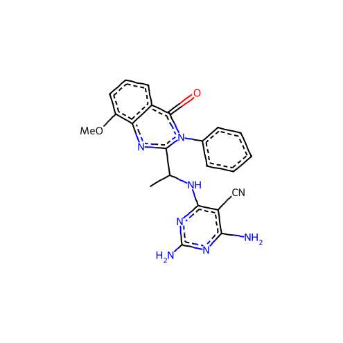 COc1cccc2c(=O)n(-c3ccccc3)c(C(C)Nc3nc(N)nc(N)c3C#N)nc12